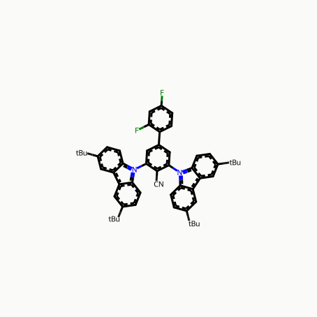 CC(C)(C)c1ccc2c(c1)c1cc(C(C)(C)C)ccc1n2-c1cc(-c2ccc(F)cc2F)cc(-n2c3ccc(C(C)(C)C)cc3c3cc(C(C)(C)C)ccc32)c1C#N